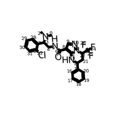 CN(C)C(CNC(=O)c1cnn2c1NC(c1ccccc1)CC2C(F)(F)F)c1ccccc1Cl